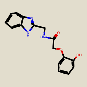 O=C(COc1ccccc1O)NCc1nc2ccccc2[nH]1